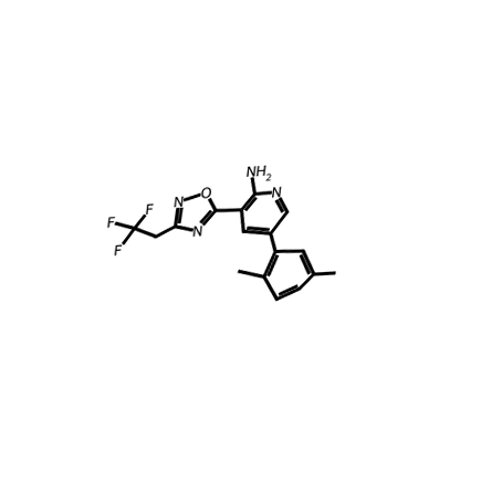 Cc1ccc(C)c(-c2cnc(N)c(-c3nc(CC(F)(F)F)no3)c2)c1